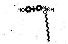 CCCCCCCCCCCCCOP(O)Oc1ccc(C(C)(C)c2ccc(O)cc2)cc1